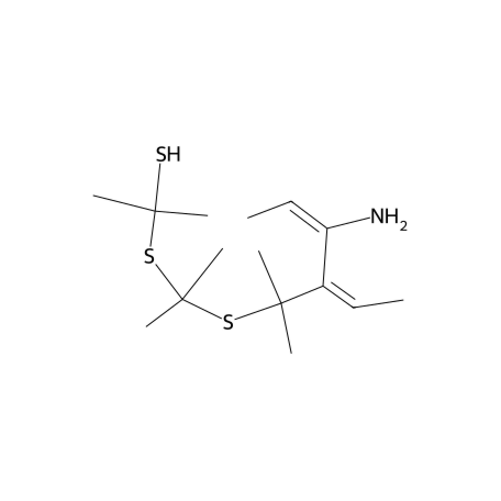 C/C=C(N)\C(=C/C)C(C)(C)SC(C)(C)SC(C)(C)S